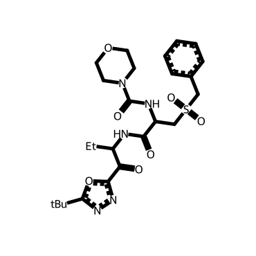 CCC(NC(=O)C(CS(=O)(=O)Cc1ccccc1)NC(=O)N1CCOCC1)C(=O)c1nnc(C(C)(C)C)o1